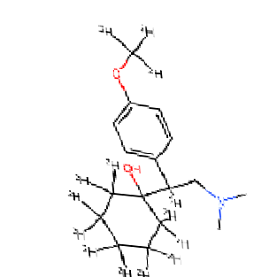 [2H]C([2H])([2H])Oc1ccc([C@@]([2H])(CN(C)C)C2(O)C([2H])([2H])C([2H])([2H])C([2H])([2H])C([2H])([2H])C2([2H])[2H])cc1